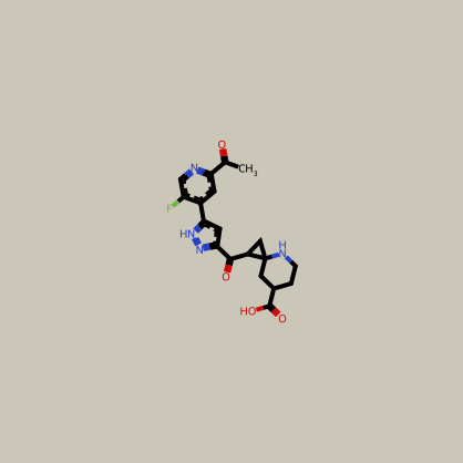 CC(=O)c1cc(-c2cc(C(=O)C3CC34CC(C(=O)O)CCN4)n[nH]2)c(F)cn1